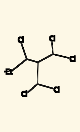 C[CH]C(Cl)C(C(Cl)Cl)C(Cl)Cl